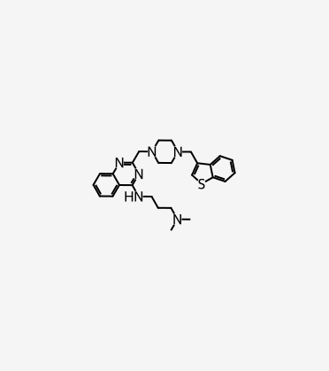 CN(C)CCCNc1nc(CN2CCN(Cc3csc4ccccc34)CC2)nc2ccccc12